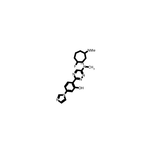 CNC1CCCC(F)[C@@H](N(C)c2cnc(-c3ccc(-n4ccnc4)cc3O)nn2)C1